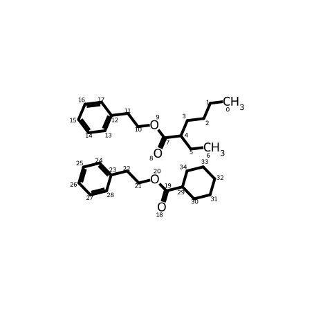 CCCCC(CC)C(=O)OCCc1ccccc1.O=C(OCCc1ccccc1)C1CCCCC1